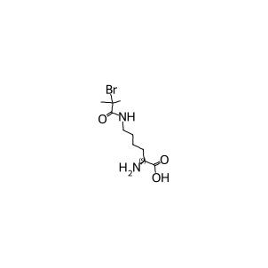 CC(C)(Br)C(=O)NCCCC[C@H](N)C(=O)O